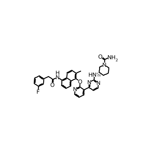 Cc1ccc2c(NC(=O)Cc3cccc(F)c3)cccc2c1Oc1ncccc1-c1ccnc(N[C@H]2CCCN(C(N)=O)C2)n1